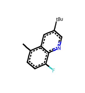 Cc1ccc(F)c2ncc(C(C)(C)C)cc12